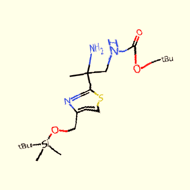 CC(C)(C)OC(=O)NCC(C)(N)c1nc(CO[Si](C)(C)C(C)(C)C)cs1